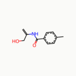 C=C(CO)NC(=O)c1ccc(C)cc1